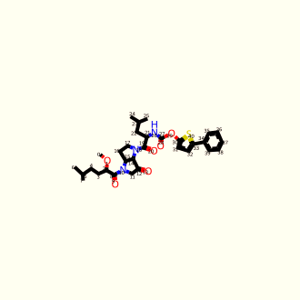 COC(CCC(C)C)C(=O)N1CC(=O)C2C1CCN2C(=O)C(CC(C)C)NC(=O)Oc1ccc(-c2ccccc2)s1